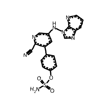 N#Cc1ncc(Nn2cnc3cccnc32)cc1-c1ccc(OS(N)(=O)=O)cc1